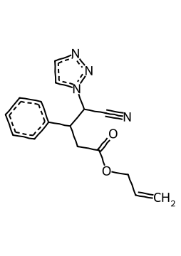 C=CCOC(=O)CC(c1ccccc1)C(C#N)n1ccnn1